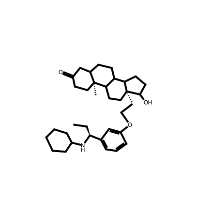 CC[C@H](NC1CCCCC1)c1cccc(OCC[C@]23CCC4C(CCC5CC(=O)CC[C@@]54C)C2CCC3O)c1